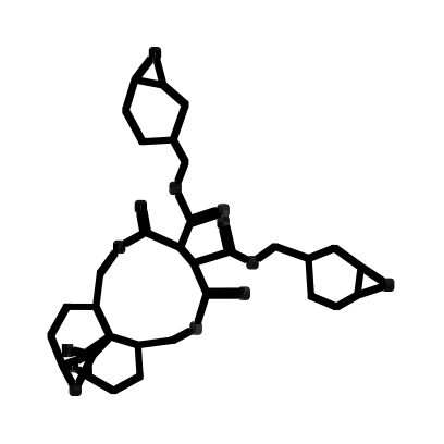 O=C(OCC1CCC2OC2C1)C1C(=O)OCC2CCC3OC3C23C(CCC2O[C@H]23)COC(=O)C1C(=O)OCC1CCC2OC2C1